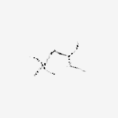 [CH2]C(C)(C)CC(C)[CH]C